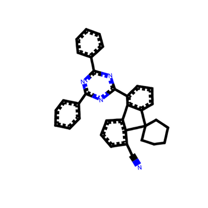 N#Cc1cccc2c1C1(CCCCC1)c1cccc(-c3nc(-c4ccccc4)nc(-c4ccccc4)n3)c1-2